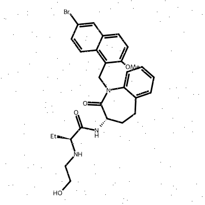 CC[C@H](NCCO)C(=O)N[C@H]1CCc2ccccc2N(Cc2c(OC)ccc3cc(Br)ccc23)C1=O